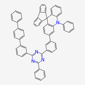 c1ccc(-c2ccc(-c3cccc(-c4nc(-c5ccccc5)nc(-c5cccc(-c6ccc7c(c6)N(c6ccccc6)c6ccccc6C76c7ccccc7-c7ccccc76)c5)n4)c3)cc2)cc1